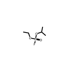 CCO[P@](=O)(F)OC(C)C